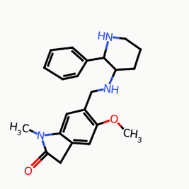 COc1cc2c(cc1CNC1CCCNC1c1ccccc1)N(C)C(=O)C2